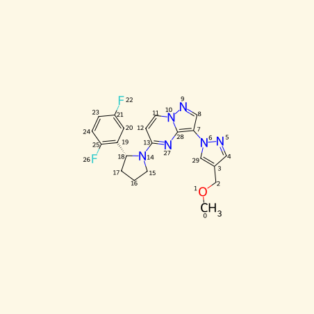 COCc1cnn(-c2cnn3ccc(N4CCC[C@@H]4c4cc(F)ccc4F)nc23)c1